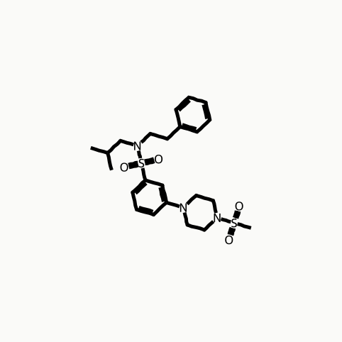 CC(C)CN(CCc1ccccc1)S(=O)(=O)c1cccc(N2CCN(S(C)(=O)=O)CC2)c1